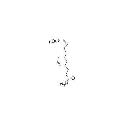 C=CC.CCCCCCCC/C=C\CCCCCCCC(N)=O